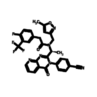 Cc1cc(CN(C(=O)Cc2ccc(F)c(C(F)(F)F)c2)[C@H](C)c2nc3ncccc3c(=O)n2-c2ccc(C#N)cc2)no1